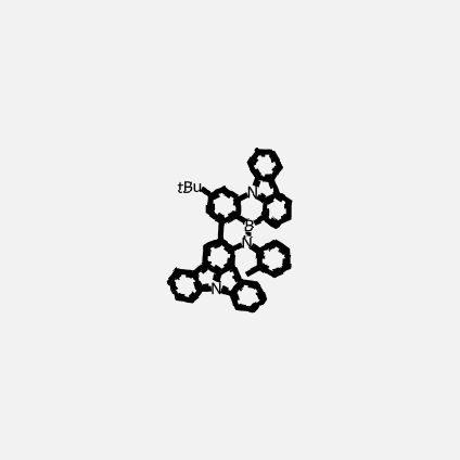 Cc1ccccc1N1B2c3c(cc(C(C)(C)C)cc3-n3c4ccccc4c4cccc2c43)-c2cc3c4ccccc4n4c5ccccc5c(c21)c34